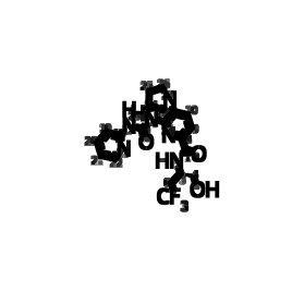 O=C(N[C@H](CO)CC(F)(F)F)c1ccc2c(n1)N(C(=O)Nc1ccccn1)[C@H]1CCN2C1